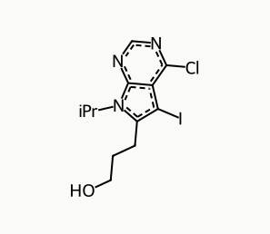 CC(C)n1c(CCCO)c(I)c2c(Cl)ncnc21